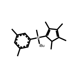 CCC(C)[Si](C)(C1=C(C)C(C)=C(C)C1C)c1cc(C)cc(C)c1